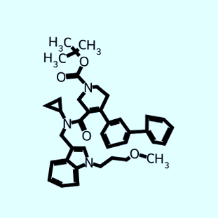 COCCCn1cc(CN(C(=O)C2=C(c3cccc(-c4ccccc4)c3)CCN(C(=O)OC(C)(C)C)C2)C2CC2)c2ccccc21